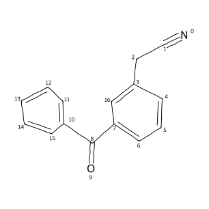 N#C[CH]c1cccc(C(=O)c2ccccc2)c1